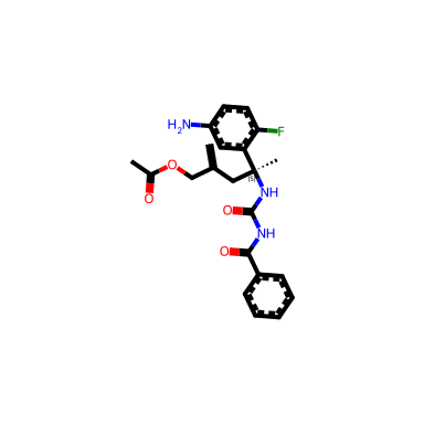 C=C(COC(C)=O)C[C@](C)(NC(=O)NC(=O)c1ccccc1)c1cc(N)ccc1F